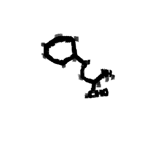 NC(C=O)CSc1ccccc1